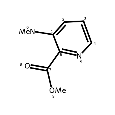 CNc1cccnc1C(=O)OC